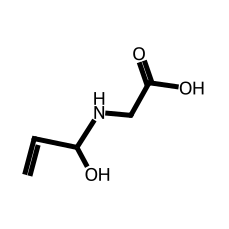 C=CC(O)NCC(=O)O